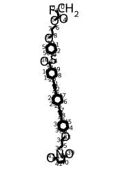 C=C(F)C(=O)OCCCOc1ccc(SC(=O)c2ccc(C#Cc3ccc(C#Cc4ccc(OCCCN5C(=O)C=CC5=O)cc4)cc3)cc2)cc1